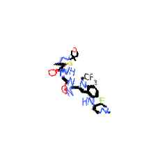 CN1CC[C@@H](Nc2cccc3c2cc(-c2noc(CNC(=O)c4cnc(C5(C)CCOCC5)s4)n2)n3CC(F)(F)F)[C@@H](F)C1